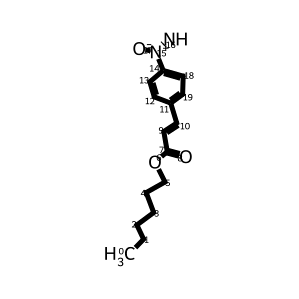 CCCCCCOC(=O)/C=C/c1ccc([N+](=N)[O-])cc1